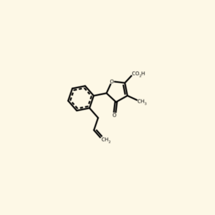 C=CCc1ccccc1C1OC(C(=O)O)=C(C)C1=O